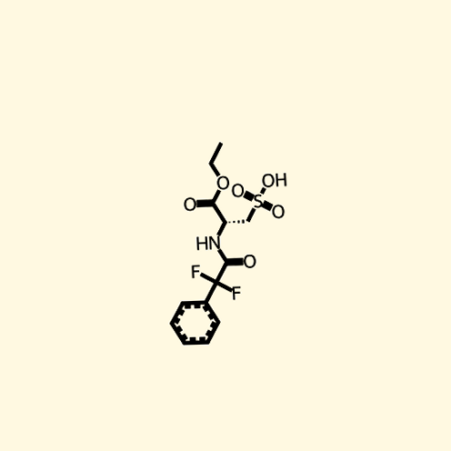 CCOC(=O)[C@H](CS(=O)(=O)O)NC(=O)C(F)(F)c1ccccc1